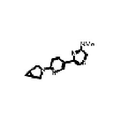 CNc1cncc(-c2ccc(N3CC4CC4C3)nc2)n1